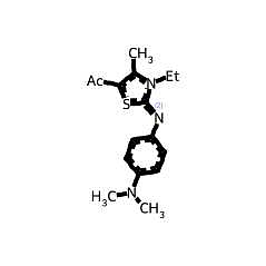 CCn1c(C)c(C(C)=O)s/c1=N\c1ccc(N(C)C)cc1